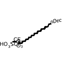 CCCCCCCCCCCCCCCCCCCCCCCCCCCCCC(=O)OC(CS(=O)(=O)O)(C(F)(F)F)C(F)(F)F